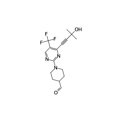 CC(C)(O)C#Cc1nc(N2CCC(C=O)CC2)ncc1C(F)(F)F